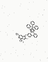 CCc1cc2c(cc(C)n2Cc2ccc(-c3ccccc3-c3nnn(C(c4ccccc4)(c4ccccc4)c4ccccc4)n3)cc2)c(C(F)(F)F)n1